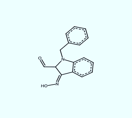 O=CC1C(=NO)c2ccccc2N1Cc1ccccc1